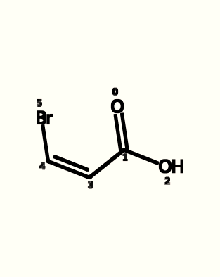 O=C(O)/C=C\Br